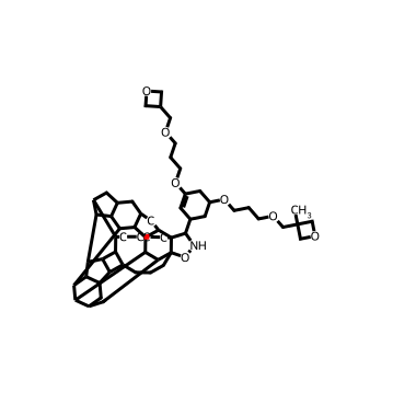 CC1(COCCCOC2CC(OCCCOCC3COC3)=CC(C3NOC45CCCC6C7C8CCCCC34C3CC4CC9CC8C8C9C9C4C3C3C4C(CC%10C6C7C8C%10C49)CC35)C2)COC1